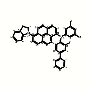 Cc1cc(C)cc(N(c2ccc(-c3ccccc3)cc2C)c2ccc3ccc4c(N5CCc6ccccc65)ccc5ccc2c3c54)c1